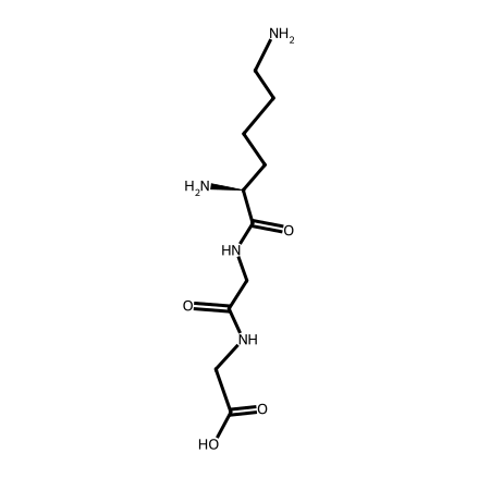 NCCCC[C@H](N)C(=O)NCC(=O)NCC(=O)O